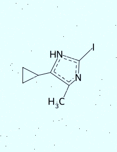 Cc1nc(I)[nH]c1C1CC1